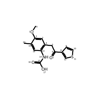 COc1cc(CC(=O)c2ccsc2)c(NC(=O)O)cc1C